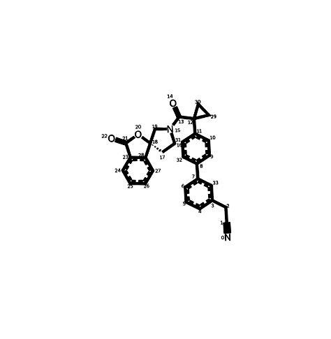 N#CCc1cccc(-c2ccc(C3(C(=O)N4CC[C@@]5(C4)OC(=O)c4ccccc45)CC3)cc2)c1